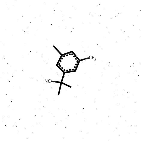 Cc1cc(C(F)(F)F)cc(C(C)(C)C#N)c1